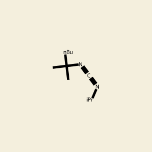 CCCCC(C)(C)N=C=NC(C)C